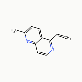 C=Cc1nccc2nc(C)ccc12